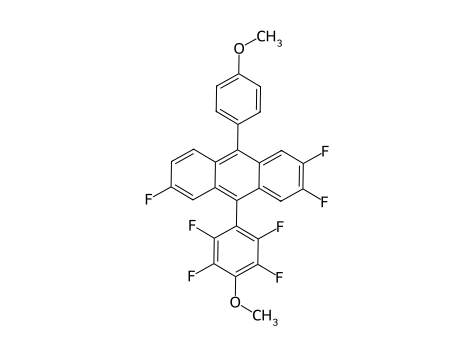 COc1ccc(-c2c3ccc(F)cc3c(-c3c(F)c(F)c(OC)c(F)c3F)c3cc(F)c(F)cc23)cc1